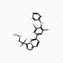 COCC(F)(F)c1nnc2ccc(-c3cc(F)c(Oc4ccccc4)c(F)c3)cn12